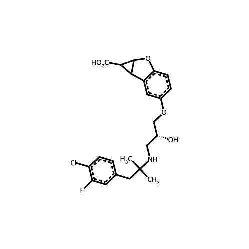 CC(C)(Cc1ccc(Cl)c(F)c1)NC[C@@H](O)COc1ccc2c(c1)C1C(O2)C1C(=O)O